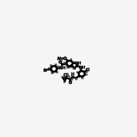 COc1cc2[nH]c(Nc3cc(CNC(=O)C4(C(F)(F)F)CC4)ccc3Cl)nc2cc1C(=O)Nc1ccc(Br)cc1